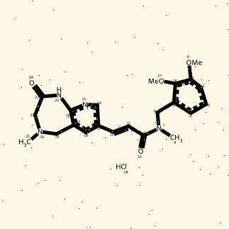 COc1cccc(CN(C)C(=O)/C=C/c2cnc3c(c2)CN(C)CC(=O)N3)c1OC.Cl